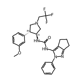 COc1cccc([C@@H]2CN(CC(F)(F)F)C[C@H]2NC(=O)Nc2c3c(nn2-c2ccccc2)CCC3)c1